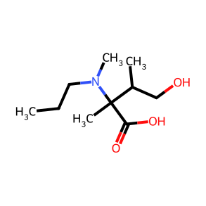 CCCN(C)C(C)(C(=O)O)C(C)CO